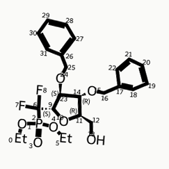 CCOP(=O)(OCC)C(F)(F)[C@H]1O[C@H](CO)[C@@H](OCc2ccccc2)[C@@H]1OCc1ccccc1